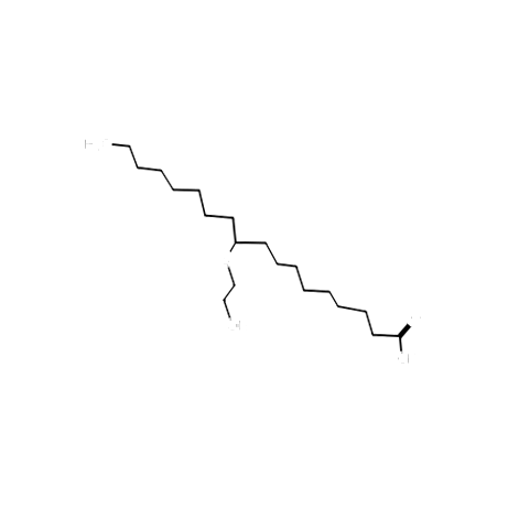 CCCCCCCCC(CCCCCCCCC(C)=O)SCCO